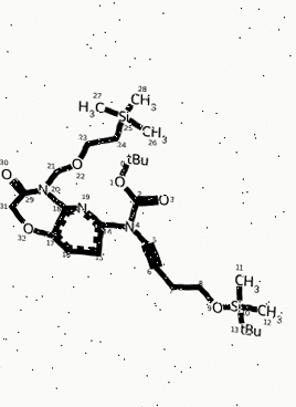 CC(C)(C)OC(=O)N(C#CCCO[Si](C)(C)C(C)(C)C)c1ccc2c(n1)N(COCC[Si](C)(C)C)C(=O)CO2